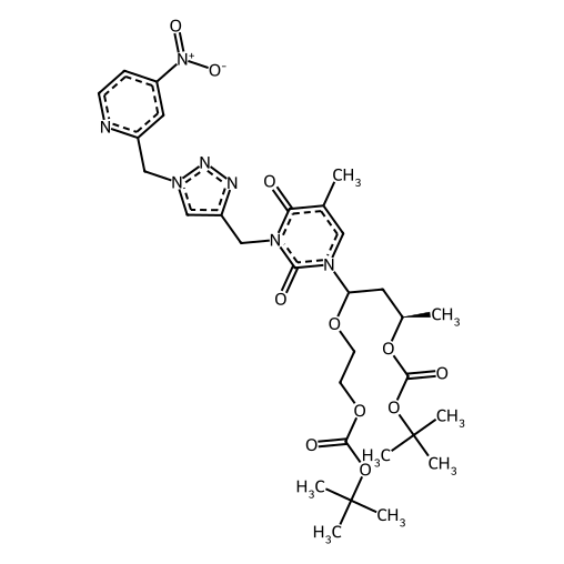 Cc1cn(C(C[C@@H](C)OC(=O)OC(C)(C)C)OCCOC(=O)OC(C)(C)C)c(=O)n(Cc2cn(Cc3cc([N+](=O)[O-])ccn3)nn2)c1=O